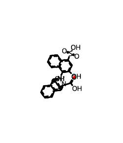 O=C(O)c1c(O)c2c3ccccc3c1n[n+]2-c1c(O)cc(S(=O)(=O)O)c2ccccc12